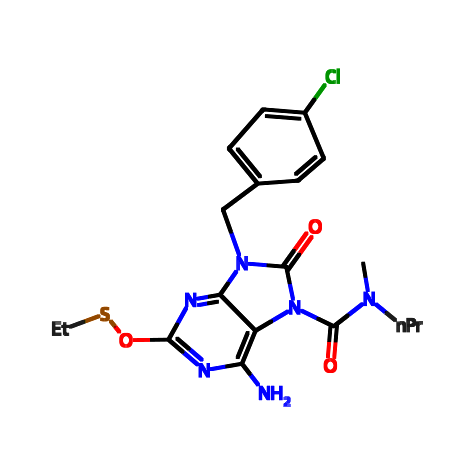 CCCN(C)C(=O)n1c(=O)n(Cc2ccc(Cl)cc2)c2nc(OSCC)nc(N)c21